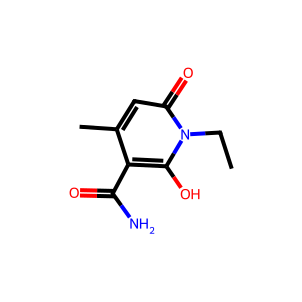 CCn1c(O)c(C(N)=O)c(C)cc1=O